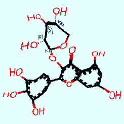 O=c1c(O[C@@H]2OC[C@@H](O)[C@H](O)[C@H]2O)c(-c2cc(O)c(O)c(O)c2)oc2cc(O)cc(O)c12